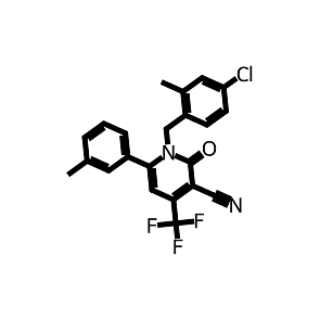 Cc1cccc(-c2cc(C(F)(F)F)c(C#N)c(=O)n2Cc2ccc(Cl)cc2C)c1